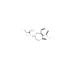 O=C(CCl)NC1CCc2c[nH]c3cccc(c23)C1O